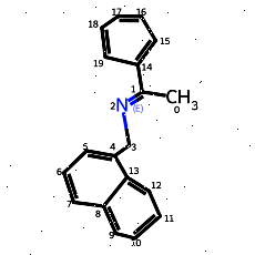 C/C(=N\Cc1cccc2ccccc12)c1ccccc1